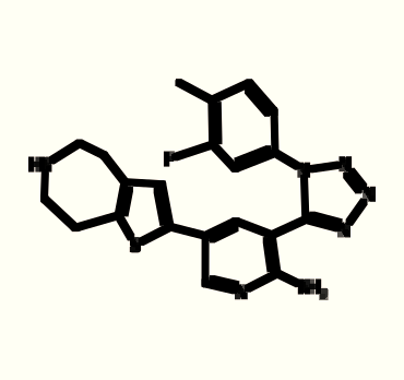 Cc1ccc(-n2nnnc2-c2cc(-c3cc4c(s3)CCNCC4)cnc2N)cc1F